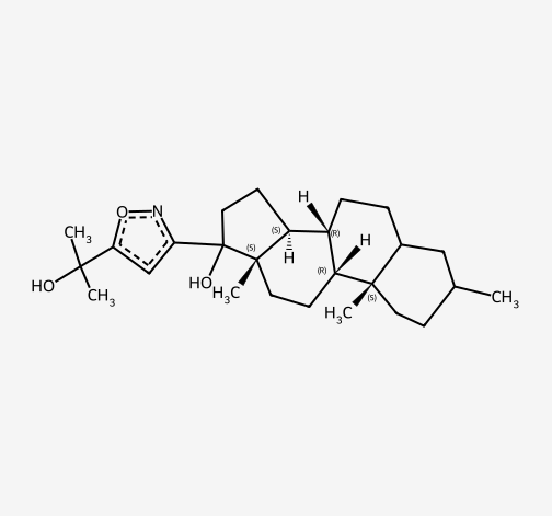 CC1CC[C@@]2(C)C(CC[C@@H]3[C@H]2CC[C@@]2(C)[C@H]3CCC2(O)c2cc(C(C)(C)O)on2)C1